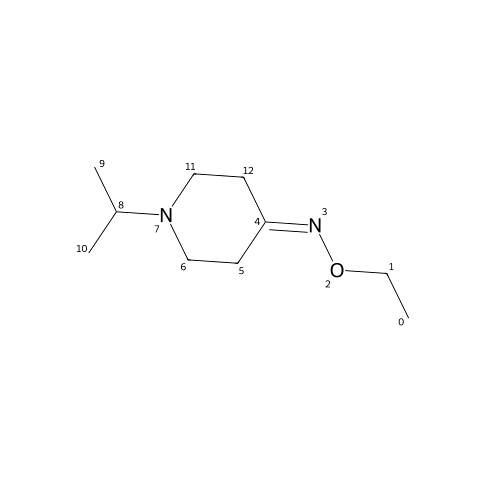 CCON=C1CCN(C(C)C)CC1